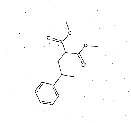 COC(=O)C(CC(C)c1ccccc1)C(=O)OC